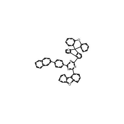 c1ccc2c(c1)Oc1ccccc1C21c2ccccc2-c2c(-c3nc(-c4ccc(-c5ccc6ccccc6c5)cc4)nc(-c4cccc5oc6ccccc6c45)n3)cccc21